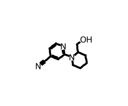 N#Cc1ccnc(N2CCCCC2CO)c1